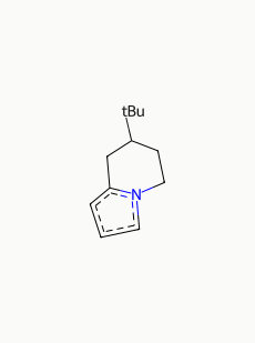 CC(C)(C)C1CCn2cccc2C1